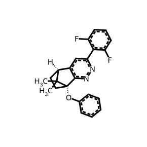 CC1(C)[C@H]2CC[C@]1(Oc1ccccc1)c1nnc(-c3c(F)cccc3F)cc12